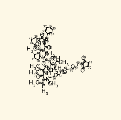 CC[C@H](C)[C@@H]([C@@H](CC(=O)N1CCC[C@H]1[C@H](OC)[C@@H](C)C(=O)N[C@@]1(C(=O)N2CCCCO2)C[C@@H]1c1ccccc1)OC)N(C)C(=O)[C@@H](NC(=O)[C@H](C(C)C)N(C)CCOCCOCCOCCN1C(=O)C=CC1=O)C(C)C